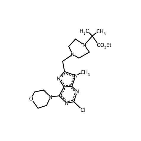 CCOC(=O)C(C)(C)N1CCN(Cc2nc3c(N4CCOCC4)nc(Cl)nc3n2C)CC1